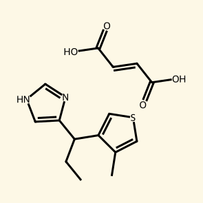 CCC(c1c[nH]cn1)c1cscc1C.O=C(O)C=CC(=O)O